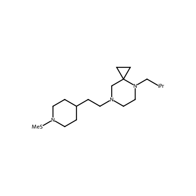 CSN1CCC(CCN2CCN(CC(C)C)C3(CC3)C2)CC1